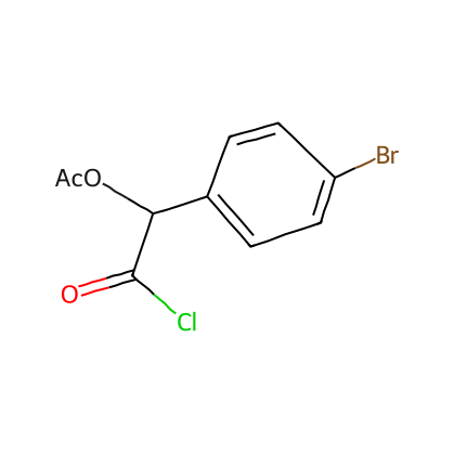 CC(=O)OC(C(=O)Cl)c1ccc(Br)cc1